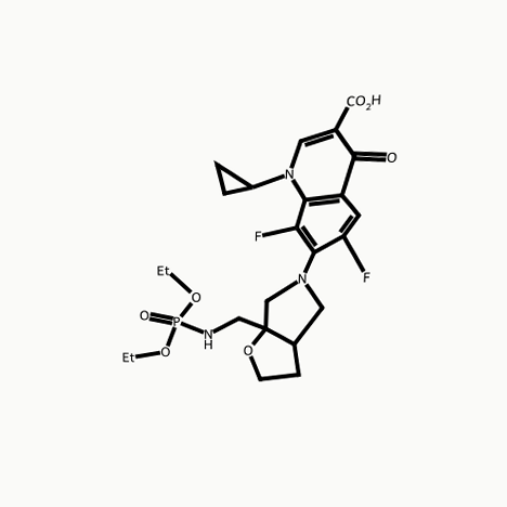 CCOP(=O)(NCC12CN(c3c(F)cc4c(=O)c(C(=O)O)cn(C5CC5)c4c3F)CC1CCO2)OCC